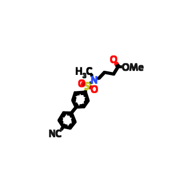 COC(=O)CCCN(C)S(=O)(=O)c1ccc(-c2ccc(C#N)cc2)cc1